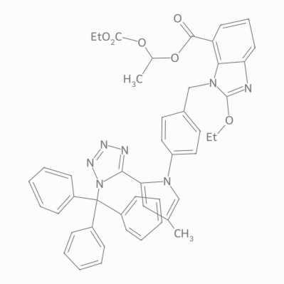 CCOC(=O)OC(C)OC(=O)c1cccc2nc(OCC)n(Cc3ccc(-n4cc(C)cc4-c4nnnn4C(c4ccccc4)(c4ccccc4)c4ccccc4)cc3)c12